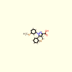 CSc1cccc(-n2nc(C(=O)O)c3c2-c2ccccc2SC3)c1